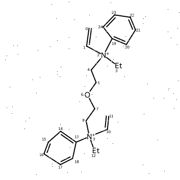 C=C[N+](CC)(CCOCC[N+](C=C)(CC)c1ccccc1)c1ccccc1